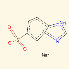 O=S(=O)([O-])c1ccc2[nH]cnc2c1.[Na+]